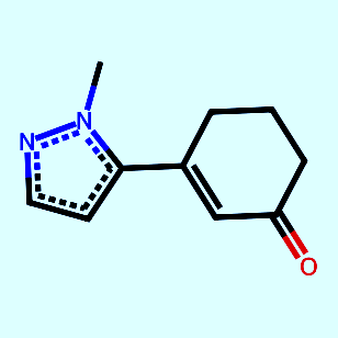 Cn1nccc1C1=CC(=O)CCC1